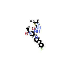 CC(=O)c1sc(NC(=O)N[C@H]2CN(C(=O)C3CC3)CC[C@H]2CN2CCCC(Cc3ccc(F)cc3)C2)nc1C